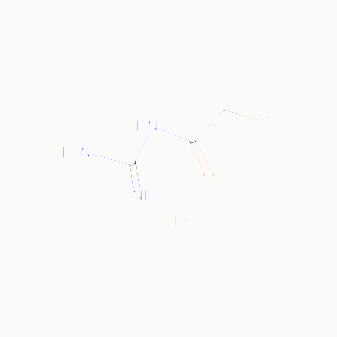 Cl.N=C(N)NC(=O)CCl